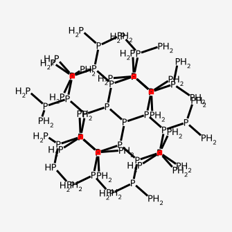 PPP(P)P(P(P)P)P(P(P(P)P)P(P)P)P(P(P(P(P)P)P(P)P)P(P(P)P)P(P)P)P(P(P(P(P)P)P(P)P)P(P(P)P)P(P)P)P(P(P(P)P)P(P)P)P(P(P)P)P(P)P